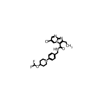 CCc1nc2ncc(Cl)cn2c1C(=O)NCc1ccc(N2CCC(OC(F)F)CC2)cc1